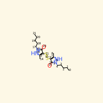 CCCCCn1[nH]c(C)c(SSc2c(C)[nH]n(CCCCC)c2=O)c1=O